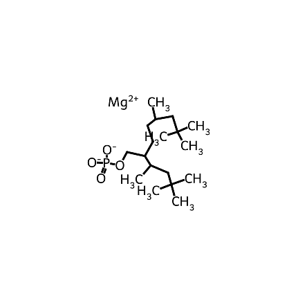 CC(CCC(COP(=O)([O-])[O-])C(C)CC(C)(C)C)CC(C)(C)C.[Mg+2]